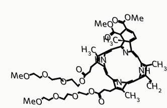 C=Cc1c(C)c2cc3nc(cc4[nH]c(cc5nc(cc1[nH]2)C(C)=C5CCC(=O)OCCOCCOCCOC)c(CCC(=O)OCCOCCOCCOC)c4C)[C@@]1(C)C3=CC=C(C(=O)OC)C1C(=O)OC